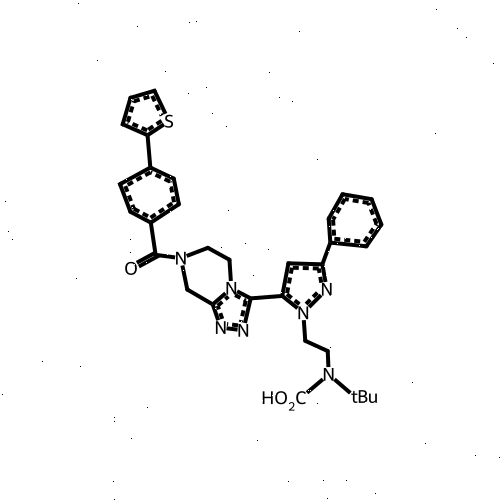 CC(C)(C)N(CCn1nc(-c2ccccc2)cc1-c1nnc2n1CCN(C(=O)c1ccc(-c3cccs3)cc1)C2)C(=O)O